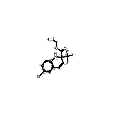 CCOC(=O)C1(C(F)(F)F)C=Cc2cc(Cl)ccc2N1